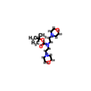 CC(C)(C)OC(=O)N(CCN1CCOCC1)CCN1CCOCC1